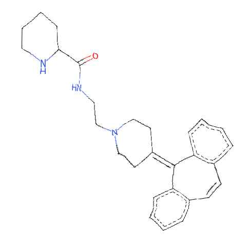 O=C(NCCN1CCC(=C2c3ccccc3C=Cc3ccccc32)CC1)C1CCCCN1